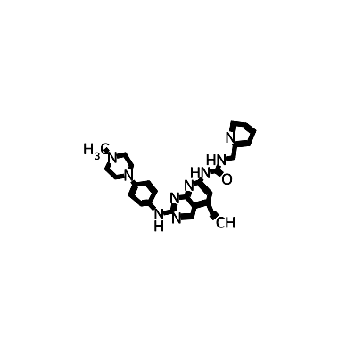 C#Cc1cc(NC(=O)NCc2ccccn2)nc2nc(Nc3ccc(N4CCN(C)CC4)cc3)ncc12